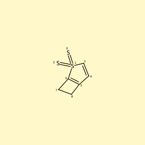 S=S1(=S)C=CC2=C1CC2